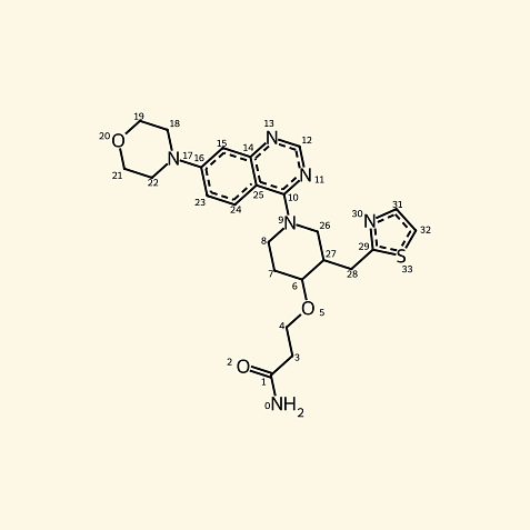 NC(=O)CCOC1CCN(c2ncnc3cc(N4CCOCC4)ccc23)CC1Cc1nccs1